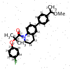 COC(C)c1ccc(-c2ccc3c(c2)CCCN3C(=O)C(C)(C)Oc2ccc(F)cc2)cc1